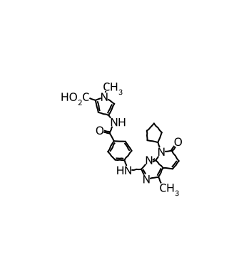 Cc1nc(Nc2ccc(C(=O)Nc3cc(C(=O)O)n(C)c3)cc2)nc2c1ccc(=O)n2C1CCCC1